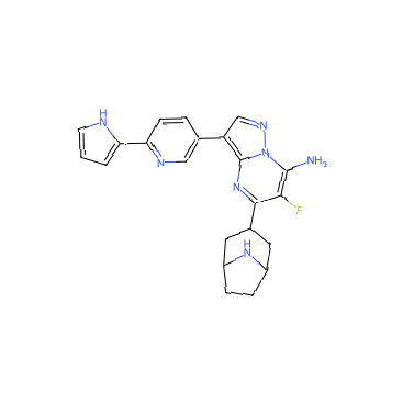 Nc1c(F)c(C2CC3CCC(C2)N3)nc2c(-c3ccc(-c4ccc[nH]4)nc3)cnn12